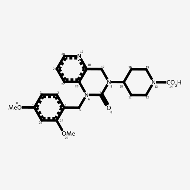 COc1ccc(CN2C(=O)N(C3CCN(C(=O)O)CC3)Cc3ncccc32)c(OC)c1